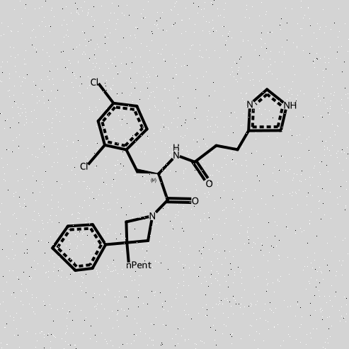 CCCCCC1(c2ccccc2)CN(C(=O)[C@@H](Cc2ccc(Cl)cc2Cl)NC(=O)CCc2c[nH]cn2)C1